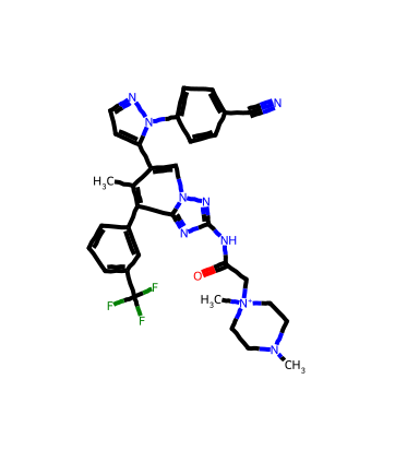 Cc1c(-c2ccnn2-c2ccc(C#N)cc2)cn2nc(NC(=O)C[N+]3(C)CCN(C)CC3)nc2c1-c1cccc(C(F)(F)F)c1